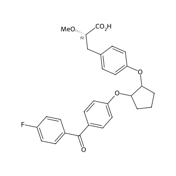 CO[C@@H](Cc1ccc(OC2CCCC2Oc2ccc(C(=O)c3ccc(F)cc3)cc2)cc1)C(=O)O